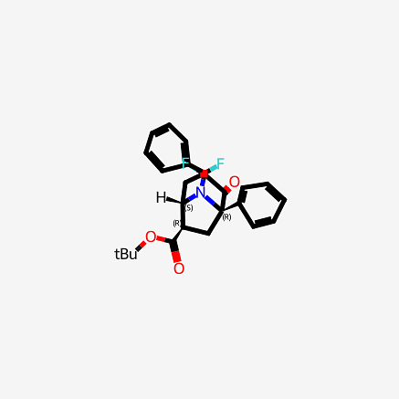 CC(C)(C)OC(=O)[C@@H]1C[C@@]2(c3ccccc3)C(=O)C(F)(F)C[C@@H]1N2Cc1ccccc1